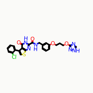 O=C(NCc1cccc(OCCCOc2nc[nH]n2)c1)c1nc2scc(-c3ccccc3Cl)c2c(=O)[nH]1